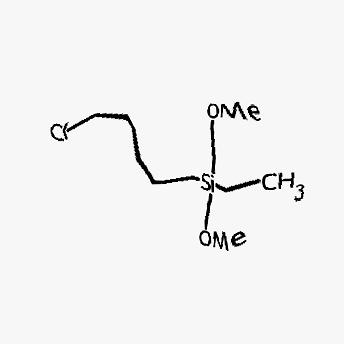 CO[Si](C)(CCCl)OC